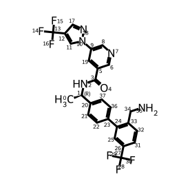 C[C@@H](NC(=O)c1cncc(-n2cc(C(F)(F)F)cn2)c1)c1ccc(-c2cc(C(F)(F)F)ccc2CN)cc1